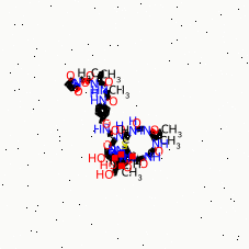 CC[C@H](C)[C@@H]1NC(=O)CNC(=O)[C@H]2Cc3c([nH]c4ccccc34)SC[C@H](NC(=O)CNC1=O)C(=O)N[C@@H](CC(=O)NOCc1ccc(NC(=O)[C@H](C)NC(=O)C(NC(=O)OCN3C(=O)C=CC3=O)C(C)C)cc1)C(=O)N1C[C@H](O)C[C@H]1N[C@@H]([C@@H](C)[C@@H](O)CO)C(=O)N2